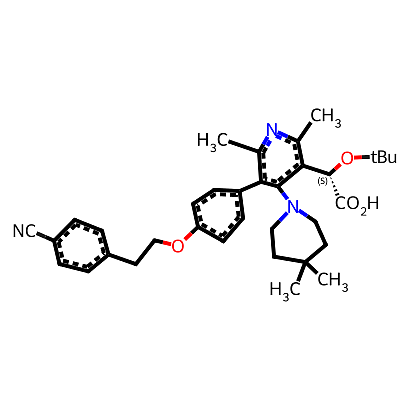 Cc1nc(C)c([C@H](OC(C)(C)C)C(=O)O)c(N2CCC(C)(C)CC2)c1-c1ccc(OCCc2ccc(C#N)cc2)cc1